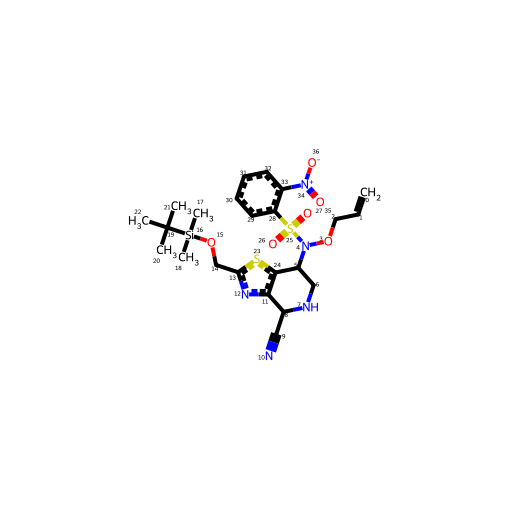 C=CCON(C1CNC(C#N)c2nc(CO[Si](C)(C)C(C)(C)C)sc21)S(=O)(=O)c1ccccc1[N+](=O)[O-]